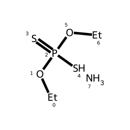 CCOP(=S)(S)OCC.N